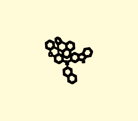 c1ccc2c(c1)Oc1ccc(N(c3ccc4ccccc4c3)c3ccc4c(c3)sc3ccccc34)cc1C21c2ccccc2-c2cccc3cccc1c23